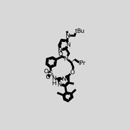 Cc1cccc(C)c1-c1nc2nc(c1C)OC[C@@H](CC(C)C)N(Cc1nccc(N(C)CC(C)(C)C)n1)C(=O)c1cccc(c1)S(=O)(=O)N2